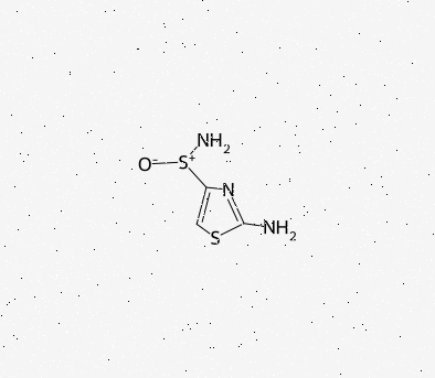 Nc1nc([S+](N)[O-])cs1